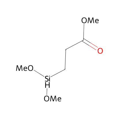 COC(=O)CC[SiH](OC)OC